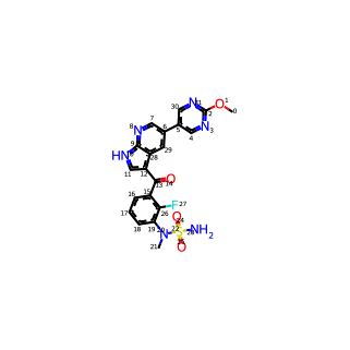 COc1ncc(-c2cnc3[nH]cc(C(=O)c4cccc(N(C)S(N)(=O)=O)c4F)c3c2)cn1